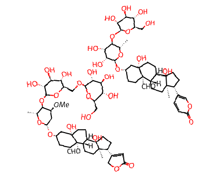 CO[C@H]1C[C@H](O[C@H]2CC[C@]3(C=O)[C@H]4CC[C@]5(C)[C@@H](C6=CC(=O)OC6)CC[C@]5(O)[C@@H]4CC[C@]3(O)C2)O[C@H](C)[C@H]1O[C@@H]1O[C@H](CO[C@@H]2O[C@H](CO)[C@@H](O)[C@H](O)[C@H]2O)[C@@H](O)[C@H](O)[C@H]1O.C[C@@H]1O[C@@H](O[C@H]2CC[C@]3(C=O)[C@H]4CC[C@]5(C)[C@@H](c6ccc(=O)oc6)CC[C@]5(O)[C@@H]4CC[C@]3(O)C2)[C@H](O)[C@H](O)[C@H]1O[C@@H]1O[C@H](CO)[C@@H](O)[C@H](O)[C@H]1O